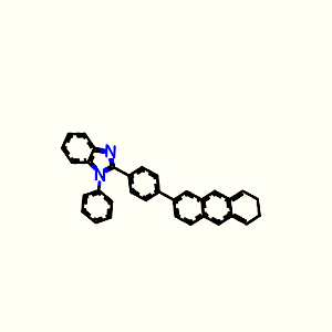 C1=c2cc3ccc(-c4ccc(-c5nc6ccccc6n5-c5ccccc5)cc4)cc3cc2=CCC1